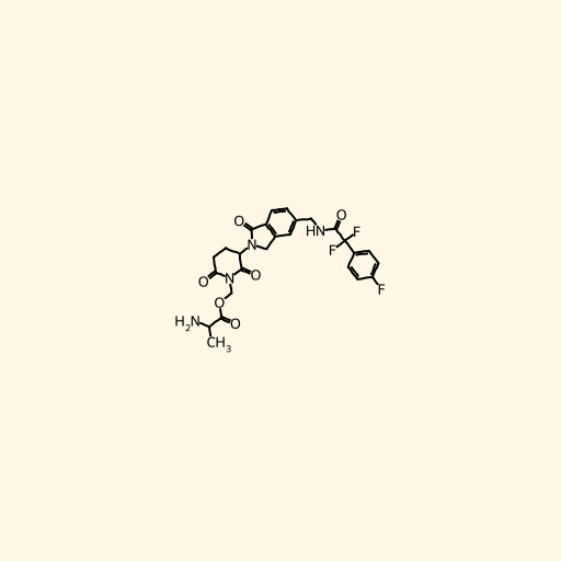 CC(N)C(=O)OCN1C(=O)CCC(N2Cc3cc(CNC(=O)C(F)(F)c4ccc(F)cc4)ccc3C2=O)C1=O